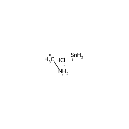 CN.Cl.[SnH2]